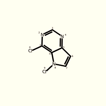 Clc1ncnc2ccn(Cl)c12